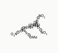 COc1ccc(CS[C@H]2C[C@@H](C(=O)N3CC[C@H](NC(=O)CCCN/C(=N\C(=O)OCc4ccc([N+](=O)[O-])cc4)NC(=O)OCc4ccc([N+](=O)[O-])cc4)C3)N(C(=O)OCc3ccc([N+](=O)[O-])cc3)C2)cc1